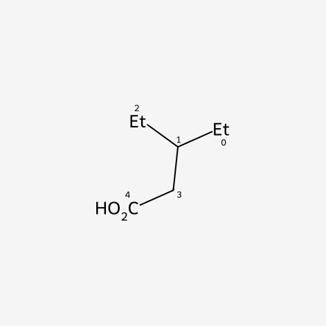 [CH2]CC(CC)CC(=O)O